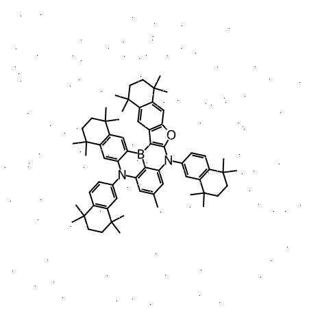 Cc1cc2c3c(c1)N(c1ccc4c(c1)C(C)(C)CCC4(C)C)c1oc4cc5c(cc4c1B3c1cc3c(cc1N2c1ccc2c(c1)C(C)(C)CCC2(C)C)C(C)(C)CCC3(C)C)C(C)(C)CCC5(C)C